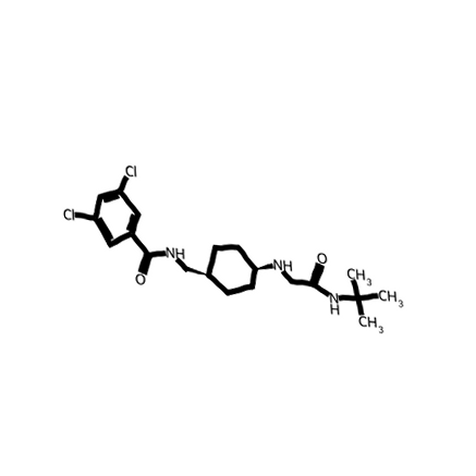 CC(C)(C)NC(=O)CN[C@H]1CC[C@@H](CNC(=O)c2cc(Cl)cc(Cl)c2)CC1